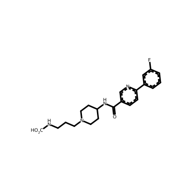 O=C(O)NCCCN1CCC(NC(=O)c2ccc(-c3cccc(F)c3)nc2)CC1